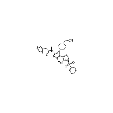 N#CC[C@H]1CC[C@H](n2c(NC(=O)Cc3cscn3)nc3cnc4c(ccn4S(=O)(=O)c4ccccc4)c32)CC1